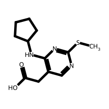 CSc1ncc(CC(=O)O)c(NC2CCCC2)n1